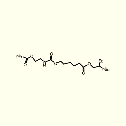 CCCCC(CC)COC(=O)CCCCCOC(=O)NCCOC(=O)CCC